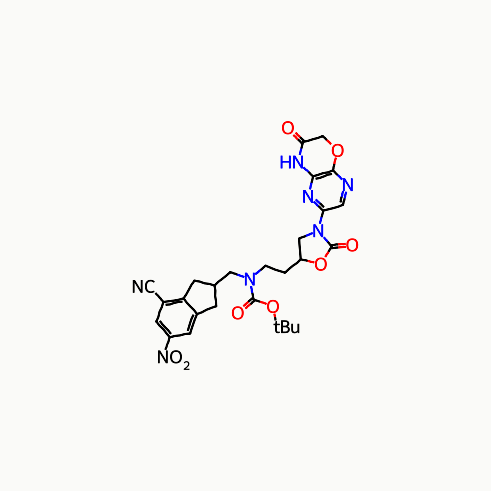 CC(C)(C)OC(=O)N(CCC1CN(c2cnc3c(n2)NC(=O)CO3)C(=O)O1)CC1Cc2cc([N+](=O)[O-])cc(C#N)c2C1